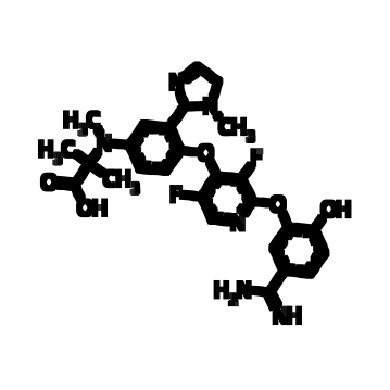 CN1CC=NC1c1cc(N(C)C(C)(C)C(=O)O)ccc1Oc1c(F)cnc(Oc2cc(C(=N)N)ccc2O)c1F